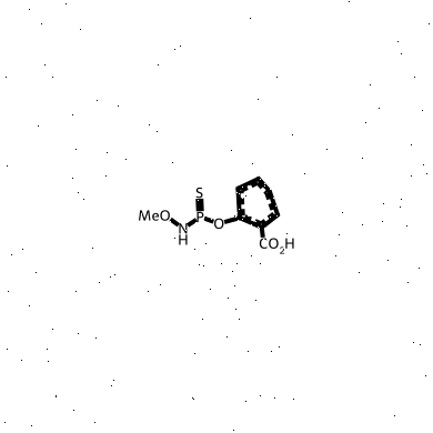 CON[P](=S)Oc1ccccc1C(=O)O